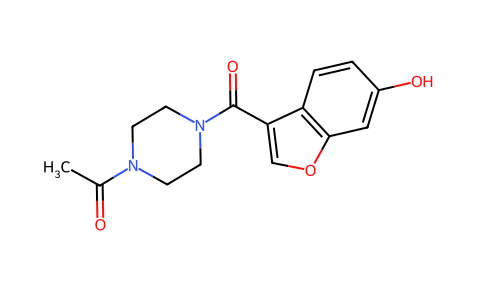 CC(=O)N1CCN(C(=O)c2coc3cc(O)ccc23)CC1